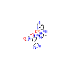 COc1c(Nc2ncc(C)c(Nc3ccc4nccnc4c3OP(C)(C)=O)n2)cc(-c2cncnc2)cc1N1CCOCC1